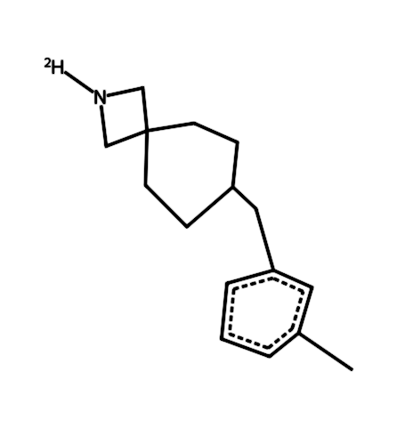 [2H]N1CC2(CCC(Cc3cccc(C)c3)CC2)C1